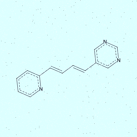 C(/C=C/c1ccccn1)=C\c1cncnc1